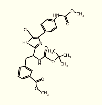 COC(=O)Nc1ccc(-c2nc(C(Cc3cccc(C(=O)OC)c3)NC(=O)OC(C)(C)C)[nH]c2Cl)cc1